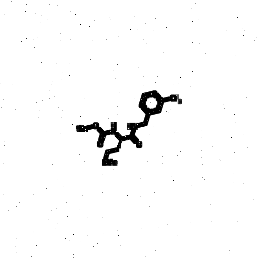 CSCC[C@H](NC(=O)OC(C)(C)C)C(=O)NCc1cccc(C(F)(F)F)c1